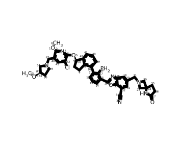 COc1nc(O[C@@H]2CCc3c(-c4cccc(-c5nc6cc(CN7CC8(CCC(=O)N8)C7)cc(C#N)c6o5)c4P)cccc32)c(Cl)cc1CN1CC[C@@H](OC)C1